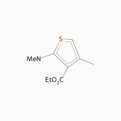 CCOC(=O)c1c(C)csc1NC